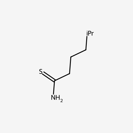 CC(C)CCCC(N)=S